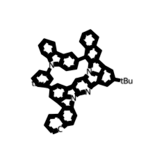 CC(C)(C)c1cc2c3cc4c(nc3n3c5ccc6ccccc6c5c(c1)c23)c1cc(C(C)(C)C)cc2c3cc5ccccc5c(-c5ccc6c(c5)c5ccccc5n6-c5ccccc5)c3n4c21